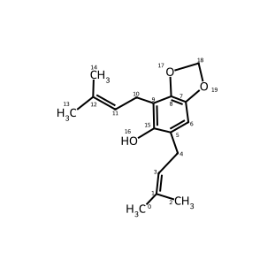 CC(C)=CCc1cc2c(c(CC=C(C)C)c1O)OCO2